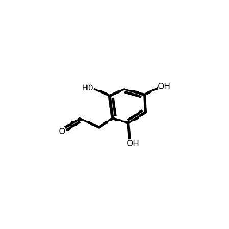 O=CCc1c(O)cc(O)cc1O